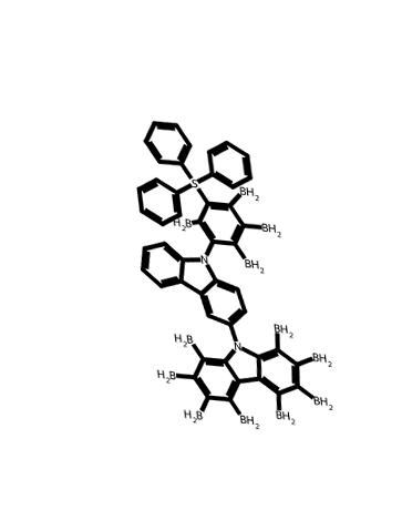 Bc1c(B)c(-n2c3ccccc3c3cc(-n4c5c(B)c(B)c(B)c(B)c5c5c(B)c(B)c(B)c(B)c54)ccc32)c(B)c(S(c2ccccc2)(c2ccccc2)c2ccccc2)c1B